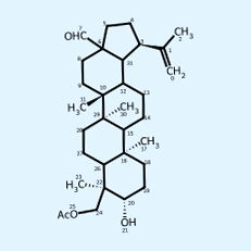 C=C(C)[C@@H]1CCC2(C=O)CC[C@]3(C)C(CCC4[C@@]5(C)CC[C@H](O)[C@@](C)(COC(C)=O)C5CC[C@]43C)C12